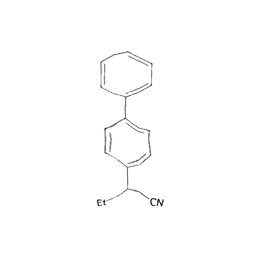 CCC(C#N)c1ccc(-c2ccccc2)cc1